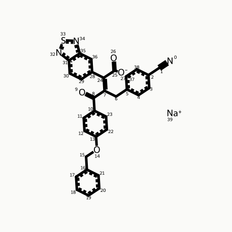 N#Cc1ccc(CC(C(=O)c2ccc(OCc3ccccc3)cc2)=C(C(=O)[O-])c2ccc3nsnc3c2)cc1.[Na+]